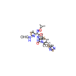 O=CNc1nc(/C(=N/OC2CC2)C(=O)N[C@@H]2C(=O)N3C(C(=O)O)=C(CSc4cnsn4)CS[C@H]23)cs1